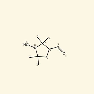 CC1(C)CC(N=O)C(C)(C)N1O